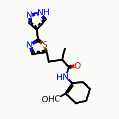 CC(Cc1cnc(-c2cn[nH]c2)s1)C(=O)NC1=C(C=O)CCCC1